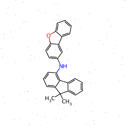 CC1(C)c2ccccc2-c2c(Nc3ccc4oc5ccccc5c4c3)cccc21